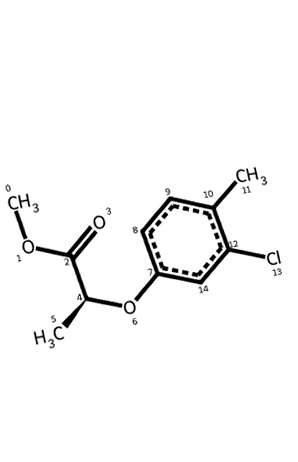 COC(=O)[C@H](C)Oc1ccc(C)c(Cl)c1